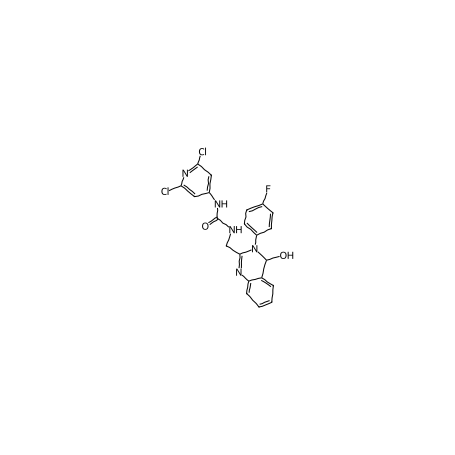 O=C(NCC1=Nc2ccccc2C(O)N1c1ccc(F)cc1)Nc1cc(Cl)nc(Cl)c1